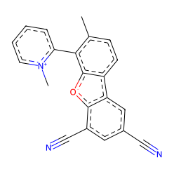 Cc1ccc2c(oc3c(C#N)cc(C#N)cc32)c1-c1cccc[n+]1C